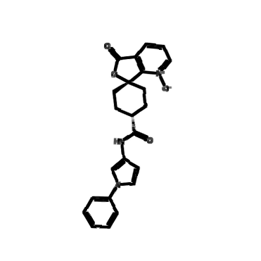 O=C1O[C@]2(CC[C@@H](C(=O)Nc3ccn(-c4ccccc4)c3)CC2)c2c1ccc[n+]2[O-]